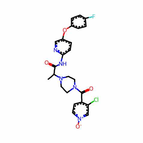 CC(C(=O)Nc1ccc(Oc2ccc(F)cc2)cn1)N1CCN(C(=O)c2cc[n+]([O-])cc2Cl)CC1